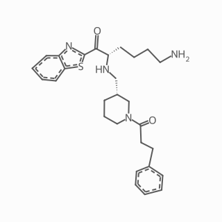 NCCCC[C@H](NC[C@H]1CCCN(C(=O)CCc2ccccc2)C1)C(=O)c1nc2ccccc2s1